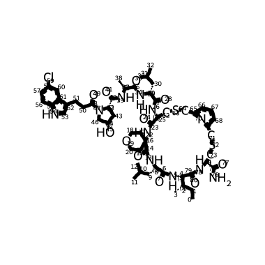 CC[C@H](C)[C@@H]1NC(=O)[C@H](CC(C)C)NC(=O)C2(CCOCC2)NC(=O)[C@@H](NC(=O)[C@@H](CC(C)C)NC(=O)[C@H](C)NC(=O)[C@@H]2C[C@@H](O)CN2C(=O)CCc2c[nH]c3ccc(Cl)cc23)CSCc2cccc(n2)CSC[C@@H](C(N)=O)NC1=O